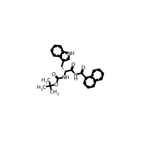 CC(C)(C)OC(=O)N[C@H](Cc1c[nH]c2ccccc12)C(=O)NC(=O)c1cccc2ccccc12